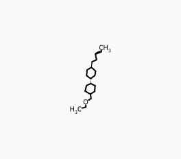 C/C=C/CC[C@H]1CC[C@H](C2CCC(COCC)CC2)CC1